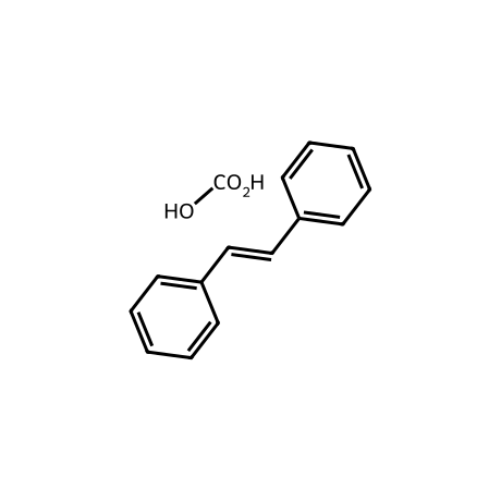 C(=Cc1ccccc1)c1ccccc1.O=C(O)O